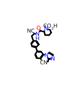 Cc1nccn1-c1cc(-c2ccc(C[C@@H](C#N)NC(=O)C3CCCCN3C(=O)O)cc2)ccc1C#N